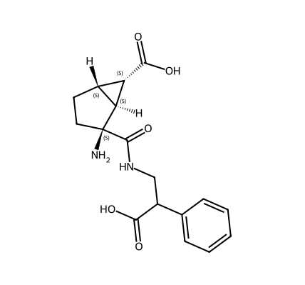 N[C@@]1(C(=O)NCC(C(=O)O)c2ccccc2)CC[C@@H]2[C@H](C(=O)O)[C@H]21